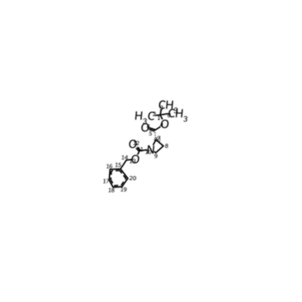 CC(C)(C)OC(=O)[C@@H]1CCN1C(=O)OCc1ccccc1